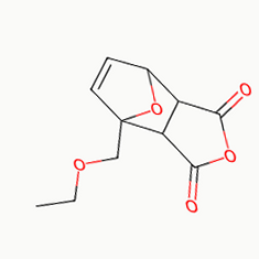 CCOCC12C=CC(O1)C1C(=O)OC(=O)C12